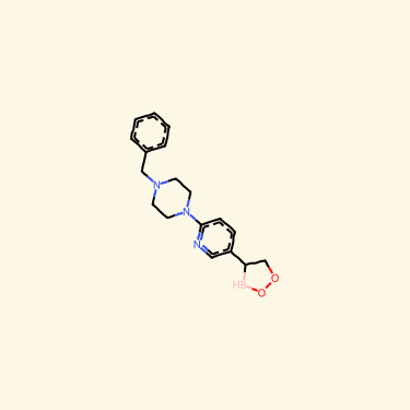 B1OOCC1c1ccc(N2CCN(Cc3ccccc3)CC2)nc1